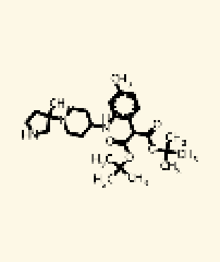 Cc1ccc(C(C(=O)OC(C)(C)C)C(=O)OC(C)(C)C)c(NC2CCN(C3(C)CCNC3)CC2)c1